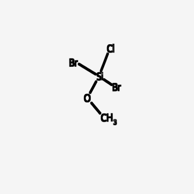 CO[Si](Cl)(Br)Br